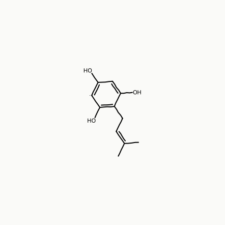 CC(C)=CCc1c(O)[c]c(O)cc1O